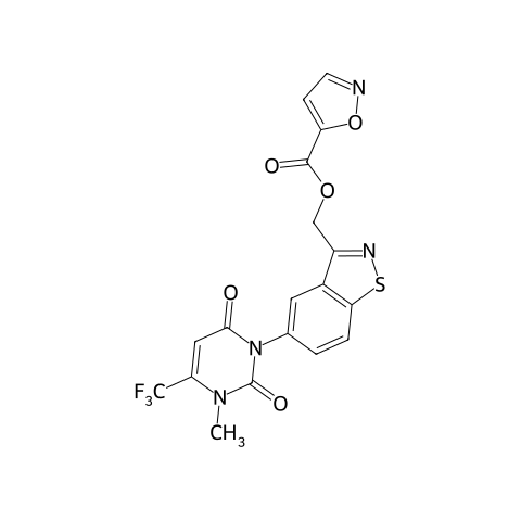 Cn1c(C(F)(F)F)cc(=O)n(-c2ccc3snc(COC(=O)c4ccno4)c3c2)c1=O